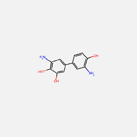 Nc1cc(-c2cc(N)c(O)c(O)c2)ccc1O